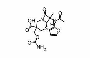 CC(=O)N(c1ccco1)C1(C)C(=O)N2CC(COC(N)=O)(C(=O)O)CS[C@@H]21